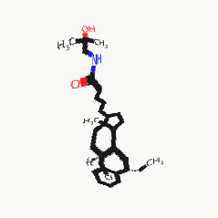 CC[C@H]1CC2C3CCC(CCCCC(=O)NCC(C)(C)O)C3(C)CC[C@@H]2C2(C)CCCCC12